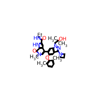 CCNC(=O)c1cc2c(-c3cc4c(cc3Oc3c(C)cccc3C)c(N3CCC3)nn4CC(C)(C)O)cn(C)c(=O)c2[nH]1